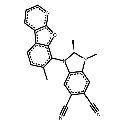 Cc1ccc2c(oc3ncccc32)c1N1c2cc(C#N)c(C#N)cc2N(C)[C@@H]1C